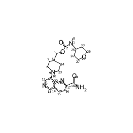 CN(C(=O)OCC1CCN(c2cncc3ccc(C(N)=O)nc23)CC1)C1CCOCC1